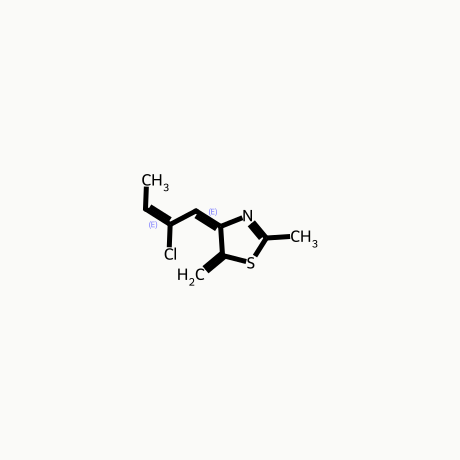 C=c1sc(C)n/c1=C/C(Cl)=C\C